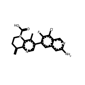 C=C1CCN(C(=O)O)c2c1ncc(-c1cc3cc(N)ncc3c(Cl)c1F)c2C